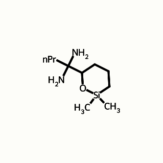 CCCC(N)(N)C1CCC[Si](C)(C)O1